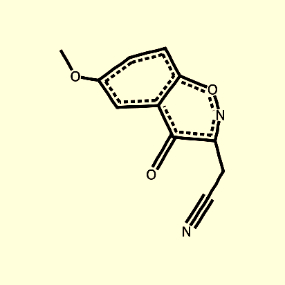 COc1ccc2onc(CC#N)c(=O)c2c1